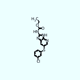 CCOC(=O)Nc1nc2cc(Sc3cccc(Cl)c3)cnc2[nH]1